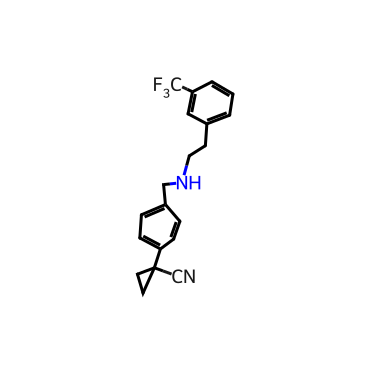 N#CC1(c2ccc(CNCCc3cccc(C(F)(F)F)c3)cc2)CC1